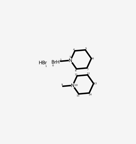 Br.Br.CN1CCCCC1.CN1CCCCC1